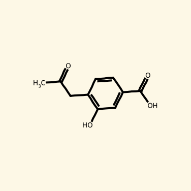 CC(=O)Cc1ccc(C(=O)O)cc1O